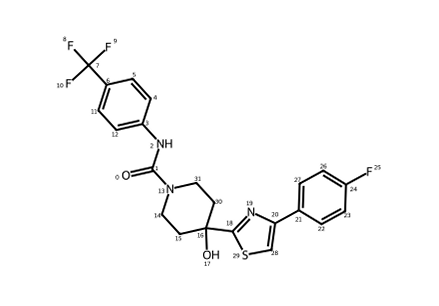 O=C(Nc1ccc(C(F)(F)F)cc1)N1CCC(O)(c2nc(-c3ccc(F)cc3)cs2)CC1